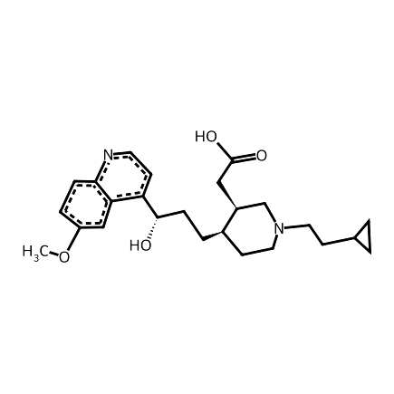 COc1ccc2nccc([C@@H](O)CC[C@@H]3CCN(CCC4CC4)C[C@@H]3CC(=O)O)c2c1